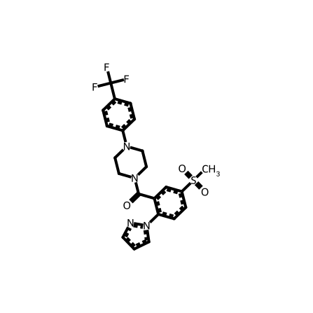 CS(=O)(=O)c1ccc(-n2cccn2)c(C(=O)N2CCN(c3ccc(C(F)(F)F)cc3)CC2)c1